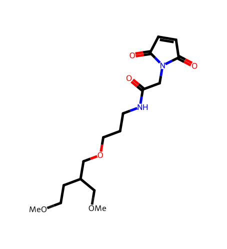 COCCC(COC)COCCCNC(=O)CN1C(=O)C=CC1=O